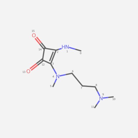 CNc1c(N(C)CCCN(C)C)c(=O)c1=O